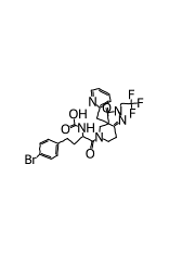 O=C(O)NC(CCc1ccc(Br)cc1)C(=O)N1CCC2=NN(CC(F)(F)F)C(=O)C2(Cc2ccccn2)C1